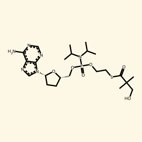 CC(C)N(C(C)C)P(=O)(OCCSC(=O)C(C)(C)CO)OC[C@@H]1CC[C@H](n2cnc3c(N)ncnc32)O1